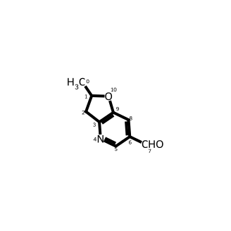 CC1Cc2ncc(C=O)cc2O1